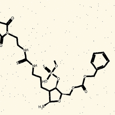 B[C@@H]1O[C@H](COC(=O)OCc2ccccc2)[C@H](OP(O)(=S)OC)C1CCCNC(=S)NCCN1C(=O)C=CC1=O